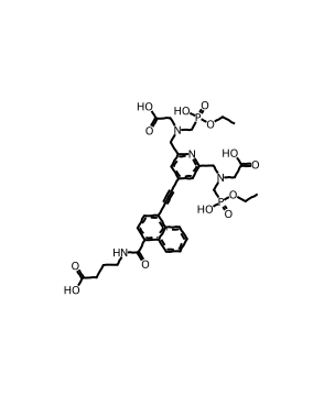 CCOP(=O)(O)CN(CC(=O)O)Cc1cc(C#Cc2ccc(C(=O)NCCCC(=O)O)c3ccccc23)cc(CN(CC(=O)O)CP(=O)(O)OCC)n1